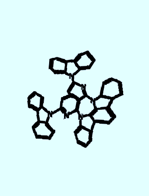 C1=CC2c3ccc4c5ccccc5n(-c5cccc(-n6c7ccccc7c7ccccc76)n5)c4c3N(c3cccc(-n4c5ccccc5c5ccccc54)n3)C2C=C1